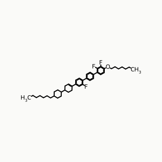 CCCCCCCOc1ccc(-c2ccc(-c3ccc(C4=CCC(C5CCC(CCCCCCC)CC5)CC4)cc3F)cc2)c(F)c1F